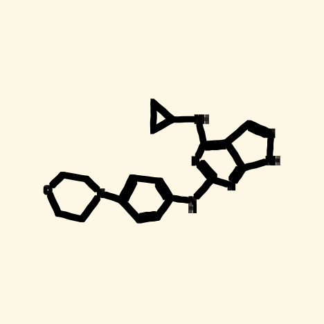 c1cc(N2CCOCC2)ccc1Nc1nc(NC2CC2)c2cn[nH]c2n1